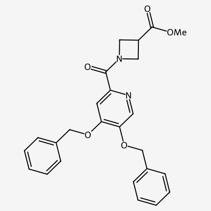 COC(=O)C1CN(C(=O)c2cc(OCc3ccccc3)c(OCc3ccccc3)cn2)C1